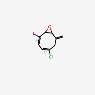 C=C1C/C(Cl)=C\C=C(\I)C2OC12